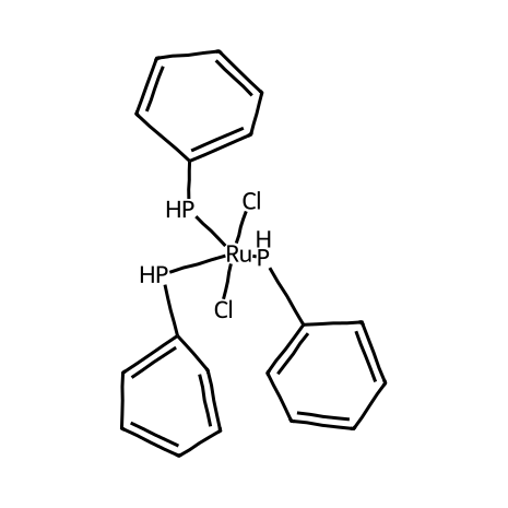 [Cl][Ru]([Cl])([PH]c1ccccc1)([PH]c1ccccc1)[PH]c1ccccc1